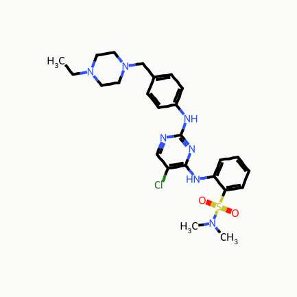 CCN1CCN(Cc2ccc(Nc3ncc(Cl)c(Nc4ccccc4S(=O)(=O)N(C)C)n3)cc2)CC1